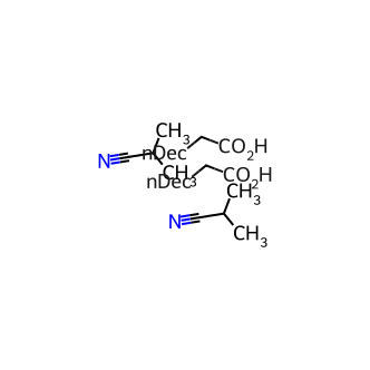 CC(C)C#N.CC(C)C#N.CCCCCCCCCCCC(=O)O.CCCCCCCCCCCC(=O)O